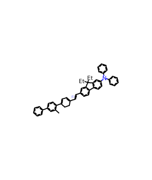 CCC1(CC)c2cc(/C=C/C3=CC=C(c4ccc(-c5ccccc5)cc4C)CC3)ccc2-c2ccc(N(c3ccccc3)c3ccccc3)cc21